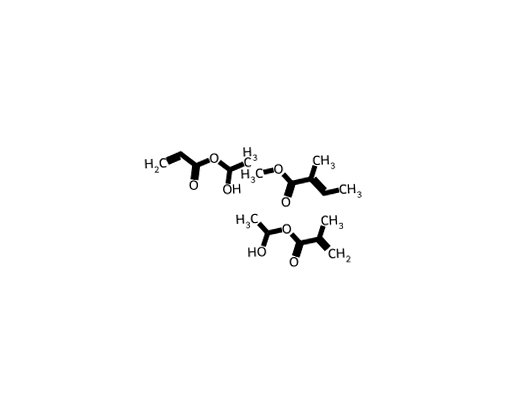 C/C=C(\C)C(=O)OC.C=C(C)C(=O)OC(C)O.C=CC(=O)OC(C)O